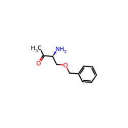 CC(=O)[C@@H](N)COCc1ccccc1